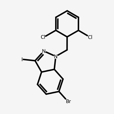 ClC1=CC=CC(Cl)C1CN1N=C(I)C2C=CC(Br)=CC21